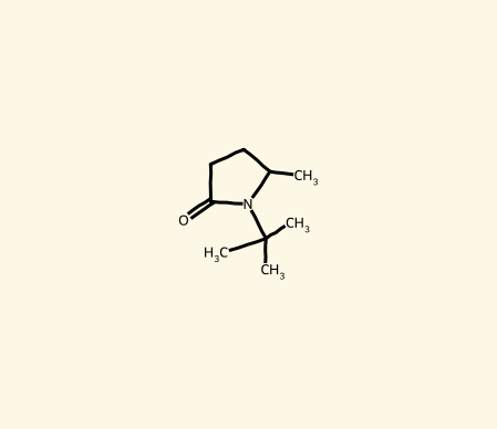 CC1CCC(=O)N1C(C)(C)C